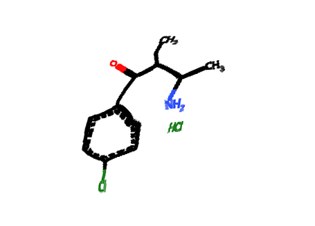 CC(N)C(C)C(=O)c1ccc(Cl)cc1.Cl